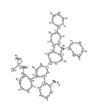 Nc1ccccc1-c1cc(-c2ccc3c(c2)c2ccc(-c4ccccc4)cc2n3-c2ccccc2)ccc1-c1ccccc1NC(N)Cl